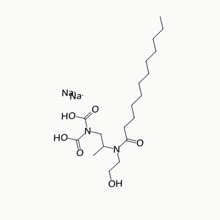 CCCCCCCCCCCC(=O)N(CCO)C(C)CN(C(=O)O)C(=O)O.[Na].[Na]